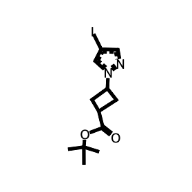 CC(C)(C)OC(=O)C1CC(n2cc(I)cn2)C1